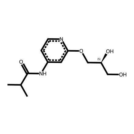 CC(C)C(=O)Nc1ccnc(OC[C@@H](O)CO)c1